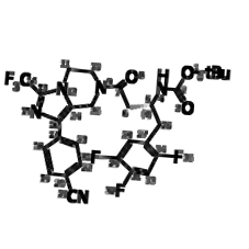 CC(C)(C)OC(=O)N[C@@H](CC(=O)N1CCn2c(C(F)(F)F)nc(-c3ccc(C#N)cc3)c2C1)Cc1cc(F)c(F)cc1F